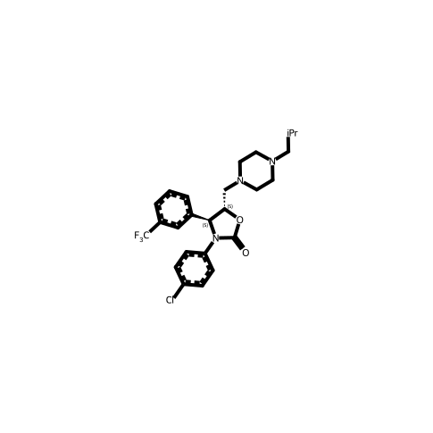 CC(C)CN1CCN(C[C@@H]2OC(=O)N(c3ccc(Cl)cc3)[C@H]2c2cccc(C(F)(F)F)c2)CC1